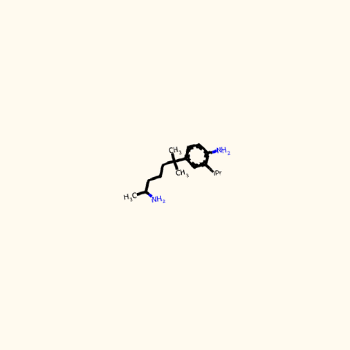 CC(N)CCCC(C)(C)c1ccc(N)c(C(C)C)c1